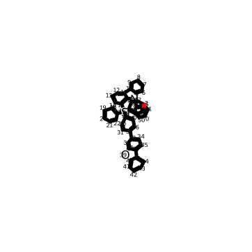 c1ccc(-n2c3ccccc3c3cccc([Si](c4ccccc4)(c4ccccc4)c4ccc(-c5ccc6c(c5)oc5ccccc56)cc4)c32)cc1